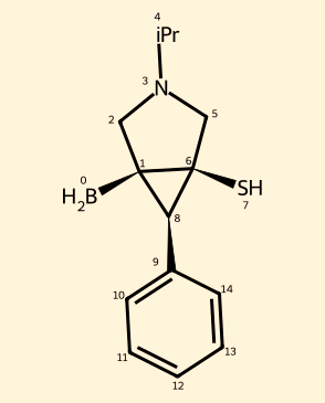 B[C@@]12CN(C(C)C)C[C@]1(S)[C@H]2c1ccccc1